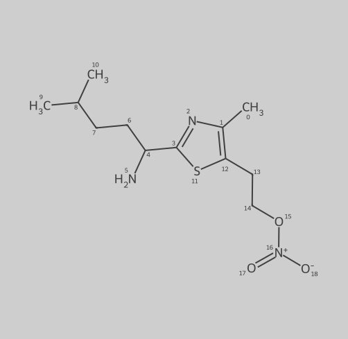 Cc1nc(C(N)CCC(C)C)sc1CCO[N+](=O)[O-]